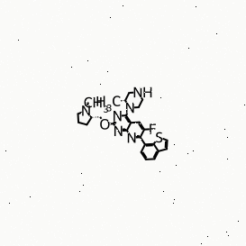 C[C@@H]1CNCCN1c1nc(OC[C@@H]2CCCN2C)nc2nc(-c3cccc4ccsc34)c(F)cc12